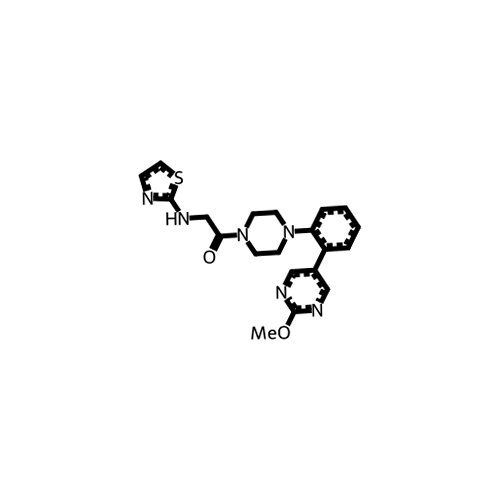 COc1ncc(-c2ccccc2N2CCN(C(=O)CNc3nccs3)CC2)cn1